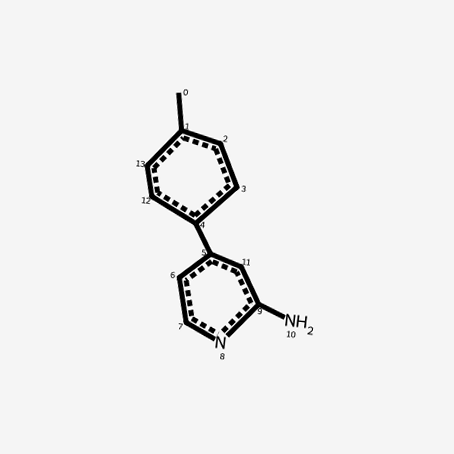 Cc1ccc(-c2ccnc(N)c2)cc1